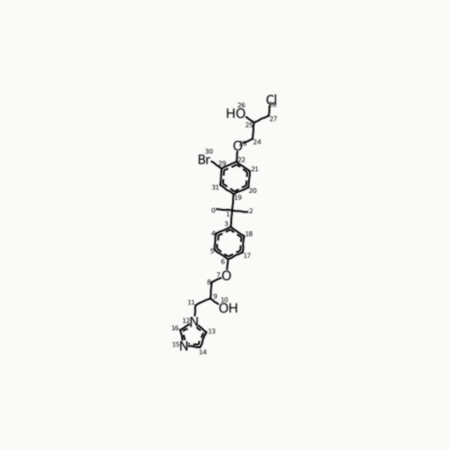 CC(C)(c1ccc(OCC(O)Cn2ccnc2)cc1)c1ccc(OCC(O)CCl)c(Br)c1